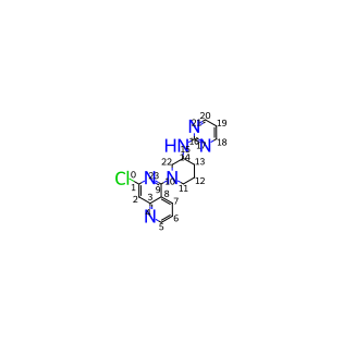 Clc1cc2ncccc2c(N2CCCC(Nc3ncccn3)C2)n1